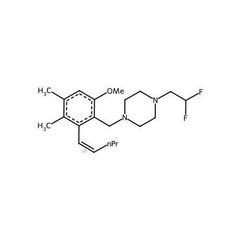 CCC/C=C\c1c(C)c(C)cc(OC)c1CN1CCN(CC(F)F)CC1